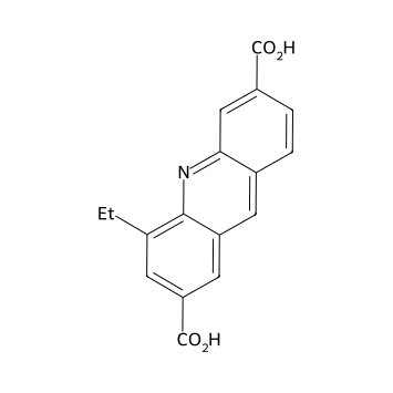 CCc1cc(C(=O)O)cc2cc3ccc(C(=O)O)cc3nc12